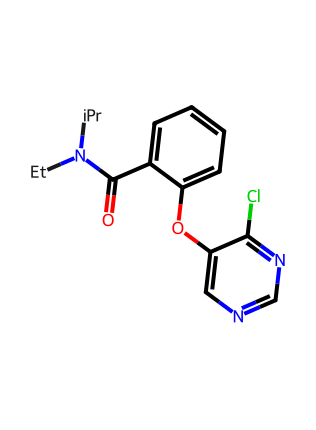 CCN(C(=O)c1ccccc1Oc1cncnc1Cl)C(C)C